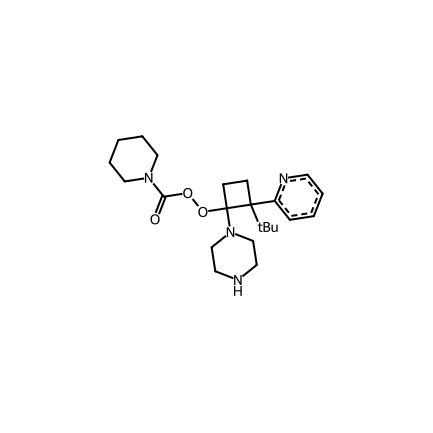 CC(C)(C)C1(c2ccccn2)CCC1(OOC(=O)N1CCCCC1)N1CCNCC1